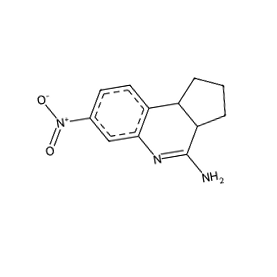 NC1=Nc2cc([N+](=O)[O-])ccc2C2CCCC12